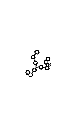 c1ccc(-c2cccc(-c3ccc(N(c4ccc(-c5cccc6ccccc56)cc4)c4ccc(-c5cccc6oc7c8ccccc8ccc7c56)cc4)cc3)c2)cc1